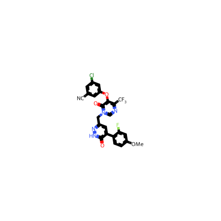 COc1ccc(-c2cc(Cn3cnc(C(F)(F)F)c(Oc4cc(Cl)cc(C#N)c4)c3=O)n[nH]c2=O)c(F)c1